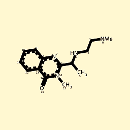 CNCCNC(C)c1nc2ccccc2c(=O)n1C